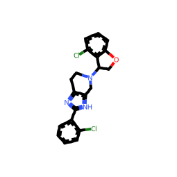 Clc1ccccc1-c1nc2c([nH]1)CN(C1COc3cccc(Cl)c31)CC2